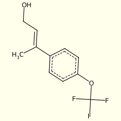 C/C(=C\CO)c1ccc(OC(F)(F)F)cc1